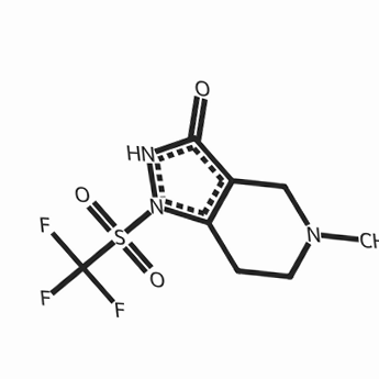 CN1CCc2c(c(=O)[nH]n2S(=O)(=O)C(F)(F)F)C1